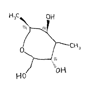 CC1[C@H](O)C(O)O[C@@H](C)[C@H]1O